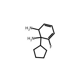 NC1C=CC=C(F)C1(N)C1CCCC1